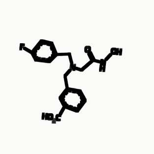 O=C(CN(Cc1ccc(F)cc1)Cc1cccc(C(=O)O)c1)NO